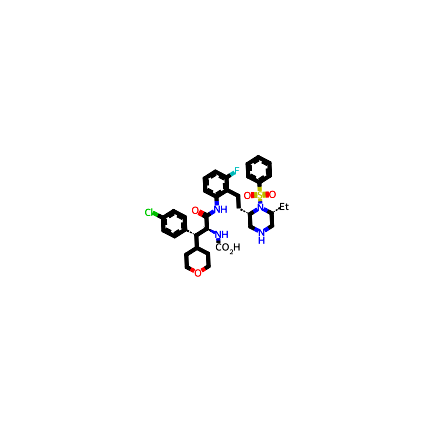 CC[C@@H]1CNC[C@H](CCc2c(F)cccc2NC(=O)[C@@H](NC(=O)O)[C@@H](c2ccc(Cl)cc2)C2CCOCC2)N1S(=O)(=O)c1ccccc1